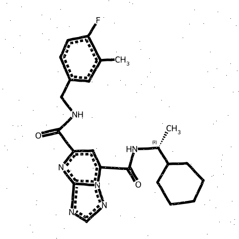 Cc1cc(CNC(=O)c2cc(C(=O)N[C@H](C)C3CCCCC3)n3ncnc3n2)ccc1F